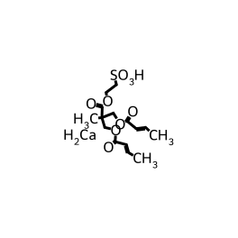 CC=CC(=O)OCC(C)(COC(=O)C=CC)C(=O)OCCS(=O)(=O)O.[CaH2]